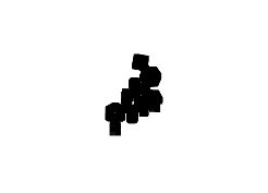 O=C(NC1CCCNC1)c1sc2nccc3c2c1NC(=O)N3c1cccc(C2CCC2)c1